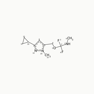 CNC(F)(F)OCc1cc(C2CC2)nn1C